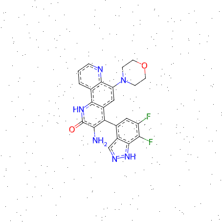 Nc1c(-c2cc(F)c(F)c3[nH]ncc23)c2cc(N3CCOCC3)c3ncccc3c2[nH]c1=O